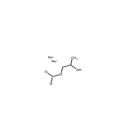 CC(O)COP([O-])[O-].[Na+].[Na+]